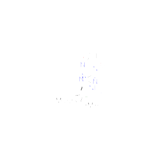 C=CC(=O)N1CC[C@H](n2nc(C#Cc3c(F)c(OC)cc(OC)c3F)c3c(N)ncc(CN4CCOCC4)c32)C1